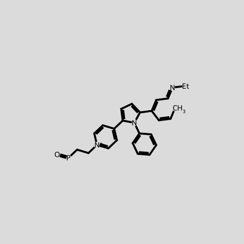 C\C=C/C(=C\C=N\CC)c1ccc(-c2cc[n+](CCP=O)cc2)n1-c1ccccc1